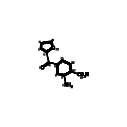 Nc1cc(C(=O)c2ccco2)ccc1C(=O)O